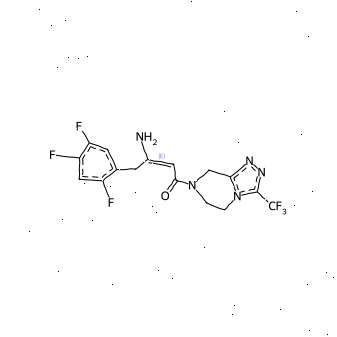 N/C(=C/C(=O)N1CCn2c(nnc2C(F)(F)F)C1)Cc1cc(F)c(F)cc1F